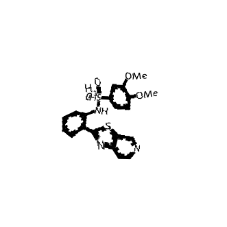 COc1ccc([SH](C)(=O)Nc2ccccc2-c2nc3ccncc3s2)cc1OC